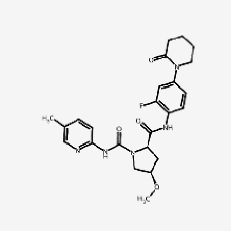 CO[C@@H]1C[C@H](C(=O)Nc2ccc(N3CCCCC3=O)cc2F)N(C(=O)Nc2ccc(C)cn2)C1